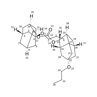 CCCO[C@]12C[C@@H]3C[C@H](C1)[C@H](OC(=O)O[C@H]1[C@@H]4C[C@@H]5C[C@H]1C[C@@](OCCC)(C5)C4)[C@@H](C3)C2